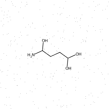 NC(O)CCC(O)O